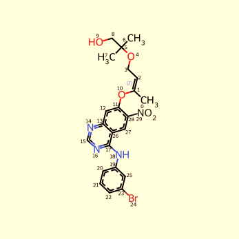 C/C(=C/COC(C)(C)CO)Oc1cc2ncnc(Nc3cccc(Br)c3)c2cc1[N+](=O)[O-]